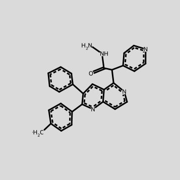 [CH2]c1ccc(-c2nc3ccnc(C(C(=O)NN)c4ccncc4)c3cc2-c2ccccc2)cc1